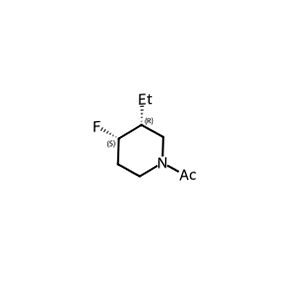 CC[C@@H]1CN(C(C)=O)CC[C@@H]1F